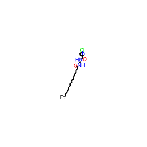 CCC=CCC=CCC=CCC=CCC=CCCCC(=O)NCCNC(=O)c1ccc(Cl)nc1